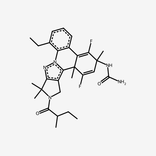 CCc1cccc2c1-n1nc3c(c1C1(C)C(F)=CC(C)(NC(N)=O)C(F)=C21)CN(C(=O)C(C)CC)C3(C)C